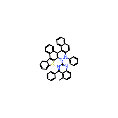 Cc1cccc2nc(N3c4c(c5ccccc5c5c4sc4ccccc45)-c4c(ccc5ccccc45)N3c3ccccc3)nc(-c3ccccc3)c12